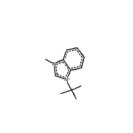 Cn1c[n+](C(C)(C)C)c2ccccc21